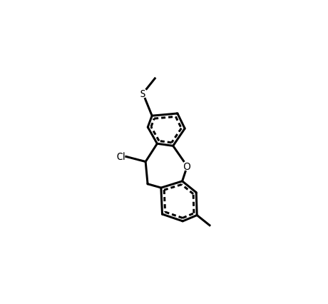 CSc1ccc2c(c1)C(Cl)Cc1ccc(C)cc1O2